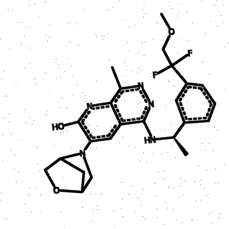 COCC(F)(F)c1cccc([C@@H](C)Nc2nnc(C)c3nc(O)c(N4CC5CC4CO5)cc23)c1